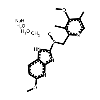 COc1ccc2[nH]c([S+]([O-])Cc3ncc(C)c(OC)c3C)nc2n1.O.O.O.[NaH]